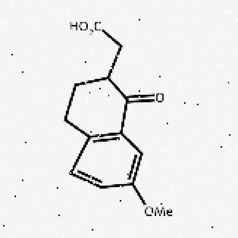 COc1ccc2c(c1)C(=O)C(CC(=O)O)CC2